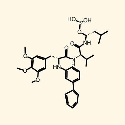 COc1cc(C[C@@H](Nc2cccc(-c3ccccc3)c2)C(=O)N[C@H](C(=O)N[C@@H](CC(C)C)OB(O)O)C(C)C)cc(OC)c1OC